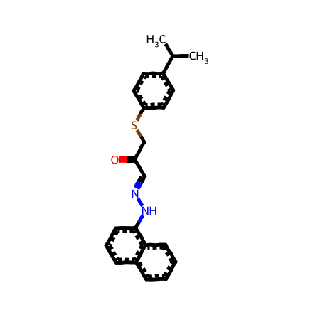 CC(C)c1ccc(SCC(=O)C=NNc2cccc3ccccc23)cc1